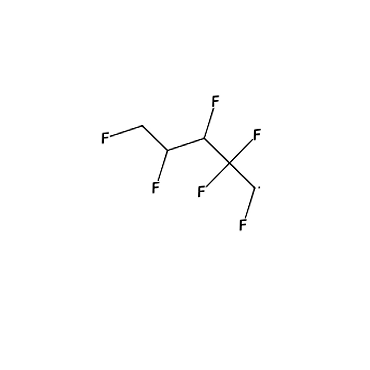 F[CH]C(F)(F)C(F)C(F)CF